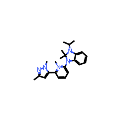 Cc1cc(-c2cccc(N3c4ccccc4N(C(C)C)C3(C)C)[n+]2C)n(C)n1